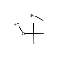 CC(C)(C)OO.C[C](C)C